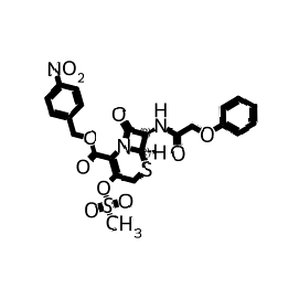 CS(=O)(=O)OC1=C(C(=O)OCc2ccc([N+](=O)[O-])cc2)N2C(=O)[C@@H](NC(=O)COc3ccccc3)[C@H]2SC1